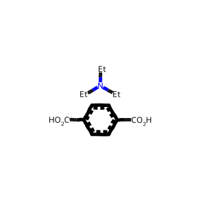 CCN(CC)CC.O=C(O)c1ccc(C(=O)O)cc1